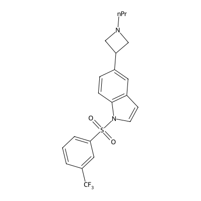 CCCN1CC(c2ccc3c(ccn3S(=O)(=O)c3cccc(C(F)(F)F)c3)c2)C1